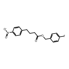 O=C(CCCc1ccc([N+](=O)[O-])cc1)OCc1ccc(F)cc1